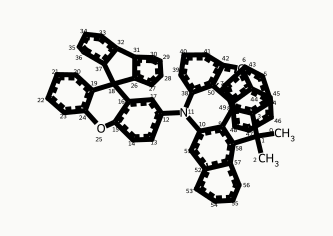 CC1(C)c2ccccc2-c2c(N(c3ccc4c(c3)C3(c5ccccc5O4)c4ccccc4-c4ccccc43)c3cccc4oc5ccccc5c34)cc3ccccc3c21